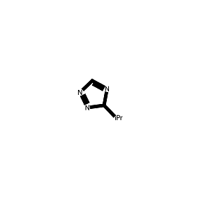 CC(C)C1N=CN=N1